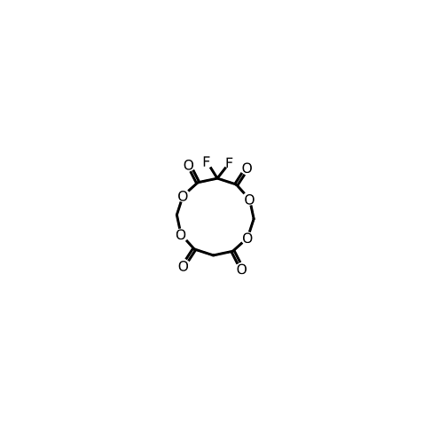 O=C1CC(=O)OCOC(=O)C(F)(F)C(=O)OCO1